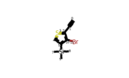 C#Cc1scc([Si](C)(C)C)c1Br